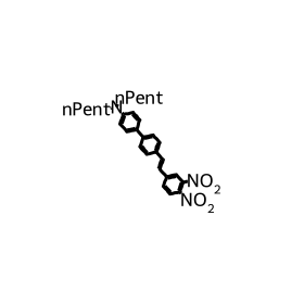 CCCCCN(CCCCC)c1ccc(-c2ccc(C=Cc3ccc([N+](=O)[O-])c([N+](=O)[O-])c3)cc2)cc1